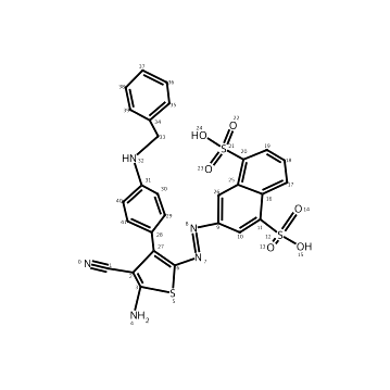 N#Cc1c(N)sc(/N=N/c2cc(S(=O)(=O)O)c3cccc(S(=O)(=O)O)c3c2)c1-c1ccc(NCc2ccccc2)cc1